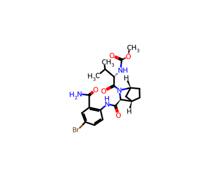 COC(=O)N[C@H](C(=O)N1[C@@H]2CC[C@@H](C2)[C@H]1C(=O)Nc1ccc(Br)cc1C(N)=O)C(C)C